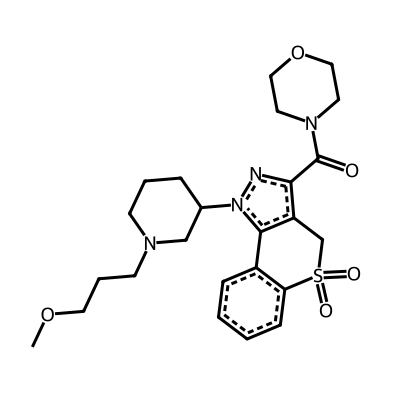 COCCCN1CCCC(n2nc(C(=O)N3CCOCC3)c3c2-c2ccccc2S(=O)(=O)C3)C1